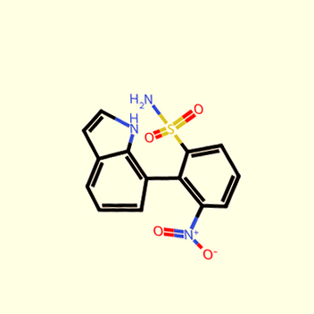 NS(=O)(=O)c1cccc([N+](=O)[O-])c1-c1cccc2cc[nH]c12